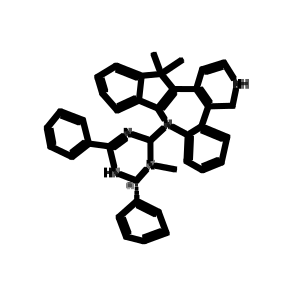 CN1C(N2C3=C(C4=C(CNC=C4)c4ccccc42)C(C)(C)c2ccccc23)N=C(c2ccccc2)N[C@H]1c1ccccc1